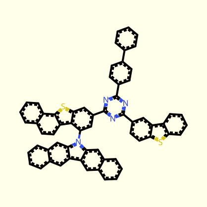 c1ccc(-c2ccc(-c3nc(-c4cc(-n5c6cc7ccccc7cc6c6cc7ccccc7cc65)c5c(c4)sc4c6ccccc6ccc45)nc(-c4ccc5sc6ccccc6c5c4)n3)cc2)cc1